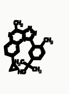 Cc1ccc(C(C)(C)O)cc1-c1nnc2c(C)nc3ccc(C4CC4)cc3n12